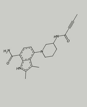 CC#CC(=O)NC1CCCN(c2ccc(C(N)=O)c3[nH]c(C)c(C)c23)C1